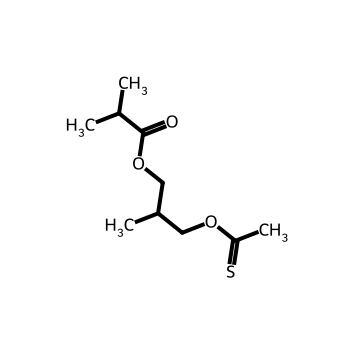 CC(=S)OCC(C)COC(=O)C(C)C